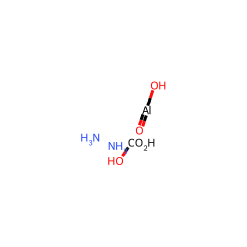 N.N.O=C(O)O.[O]=[Al][OH]